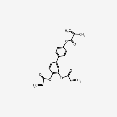 C=CC(=O)Oc1ccc(-c2ccc(OC(=O)C(=C)C)cc2)cc1OC(=O)C=C